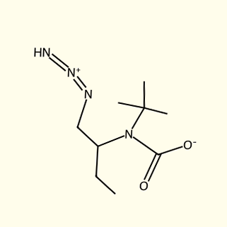 CCC(CN=[N+]=N)N(C(=O)[O-])C(C)(C)C